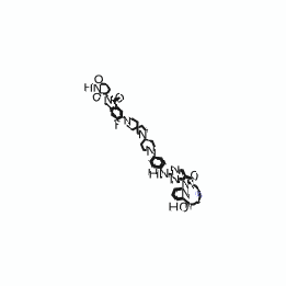 C[C@@]1(O)CC/C=C\Cn2c(=O)c3cnc(Nc4ccc(N5CCC(N6CCC7(CCN(c8cc9c(cc8F)CN(C8CCC(=O)NC8=O)C9=O)CC7)C6)CC5)cc4)nc3n2-c2cccc1n2